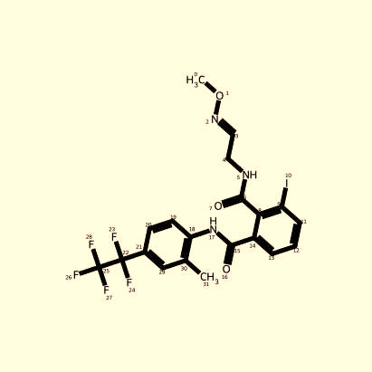 CON=CCNC(=O)c1c(I)cccc1C(=O)Nc1ccc(C(F)(F)C(F)(F)F)cc1C